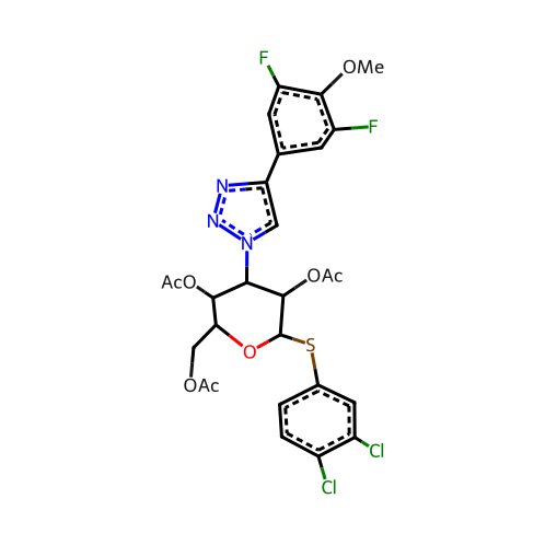 COc1c(F)cc(-c2cn(C3C(OC(C)=O)C(COC(C)=O)OC(Sc4ccc(Cl)c(Cl)c4)C3OC(C)=O)nn2)cc1F